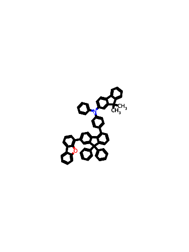 CC1(C)c2ccccc2-c2ccc(N(c3ccccc3)c3ccc(-c4cccc5c4-c4ccc(-c6cccc7c6oc6ccccc67)cc4C5(c4ccccc4)c4ccccc4)cc3)cc21